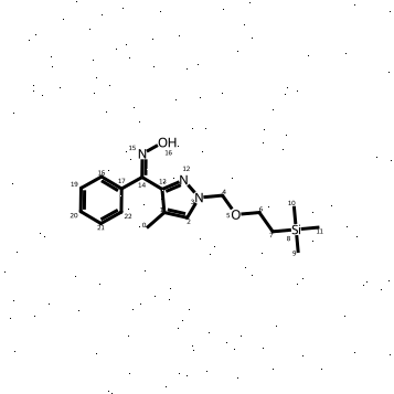 Cc1cn(COCC[Si](C)(C)C)nc1C(=NO)c1ccccc1